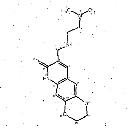 CN(C)CCNCc1cc2cc3c(cc2[nH]c1=O)OCCO3